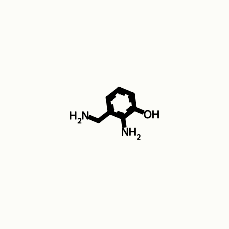 NCc1cccc(O)c1N